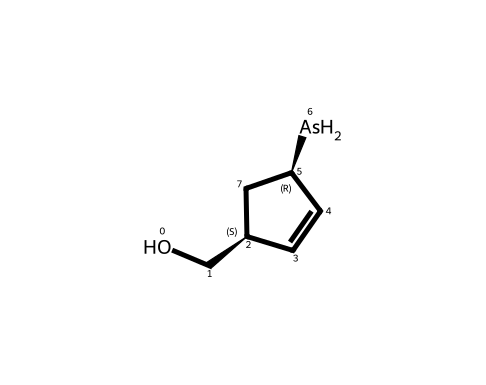 OC[C@@H]1C=C[C@H]([AsH2])C1